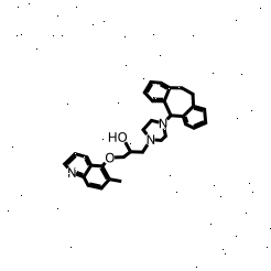 Cc1ccc2ncccc2c1OCC(O)CN1CCN(C2c3ccccc3CCc3ccccc32)CC1